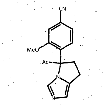 COc1cc(C#N)ccc1C1(C(C)=O)CCc2cncn21